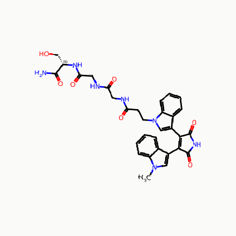 Cn1cc(C2=C(c3cn(CCC(=O)NCC(=O)NCC(=O)N[C@@H](CO)C(N)=O)c4ccccc34)C(=O)NC2=O)c2ccccc21